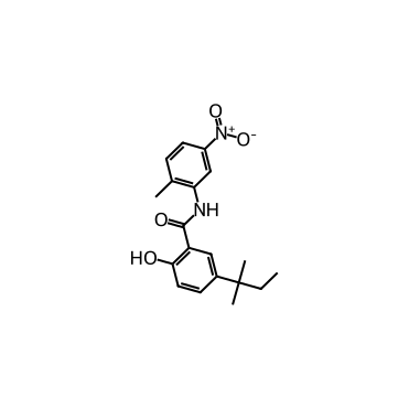 CCC(C)(C)c1ccc(O)c(C(=O)Nc2cc([N+](=O)[O-])ccc2C)c1